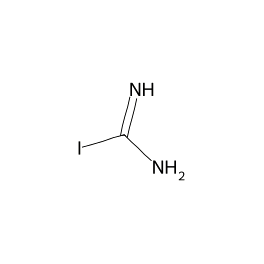 N=C(N)I